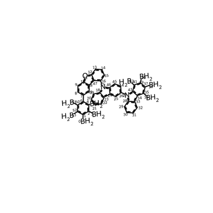 Bc1c(B)c(B)c(-c2ccc3oc4cccc(-n5c6ccccc6c6cc(-n7c8ccccc8c8c(B)c(B)c(B)c(B)c87)ccc65)c4c3c2)c(B)c1B